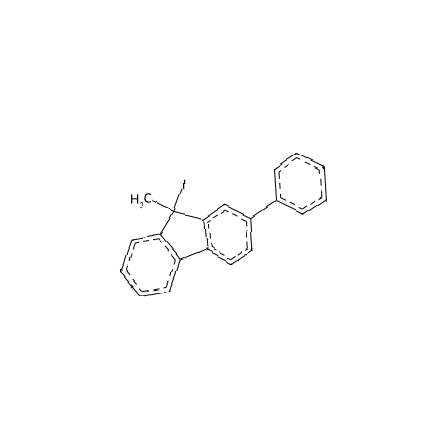 CC1(I)c2ccccc2-c2ccc(-c3ccccc3)cc21